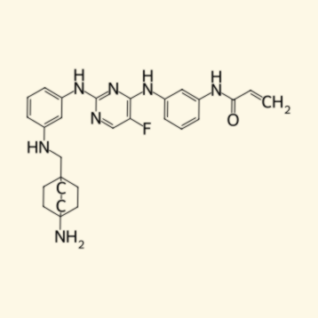 C=CC(=O)Nc1cccc(Nc2nc(Nc3cccc(NCC45CCC(N)(CC4)CC5)c3)ncc2F)c1